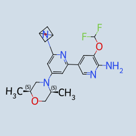 C[C@H]1CN(c2cc(-c3cnc(N)c(OC(F)F)c3)nc(N3CC4CC3C4)c2)[C@@H](C)CO1